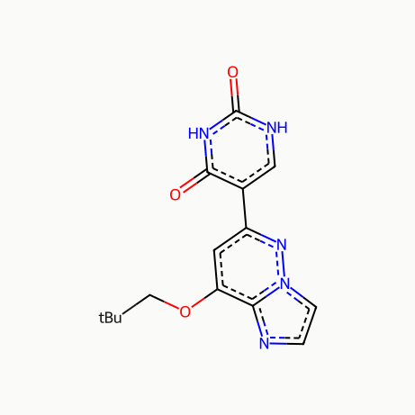 CC(C)(C)COc1cc(-c2c[nH]c(=O)[nH]c2=O)nn2ccnc12